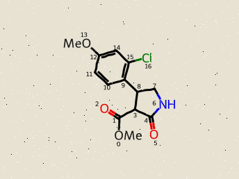 COC(=O)C1C(=O)NCC1c1ccc(OC)cc1Cl